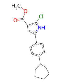 COC(=O)c1cc(-c2ccc(C3CCCCC3)cc2)[nH]c1Cl